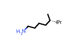 CC(C)[C@@H](C)CCCCN